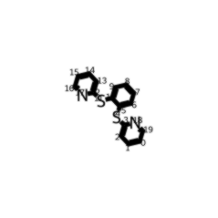 c1ccc(Sc2ccccc2Sc2ccccn2)nc1